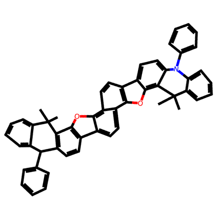 CC1(C)c2ccccc2C(c2ccccc2)c2ccc3c(oc4c3ccc3c4ccc4c5ccc6c(c5oc43)C(C)(C)c3ccccc3N6c3ccccc3)c21